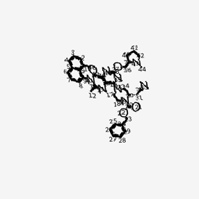 Cc1cccc2cccc(-n3c(C)nc4c(N5CCN(C(=O)OCc6ccccc6)[C@@H](CC#N)C5)nc(OCC5CCCN5C)nc4c3=O)c12